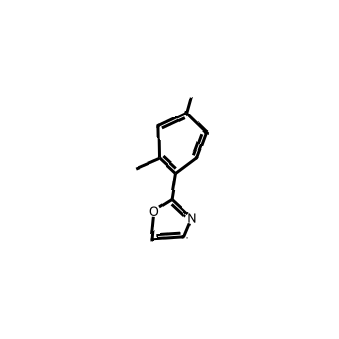 Cc1ccc(-c2n[c]co2)c(C)c1